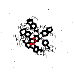 CC(C)(C)c1ccc(N2c3cc4c(cc3B3c5oc6cc7c(cc6c5N(c5cc6c(cc5-c5ccccc5)C(C)(C)CCC6(C)C)c5cc(-n6c8cc(C(C)(C)C)ccc8c8ccc(C(C)(C)C)cc86)cc2c53)C2(C)CCC7(C)C2)C2(C)CCC4(C)C2)cc1